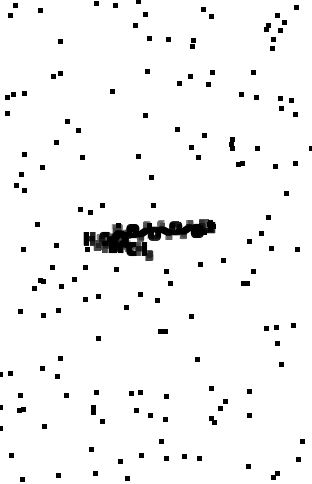 CCOCCOCCOCCOc1cc(C)[nH]c1C